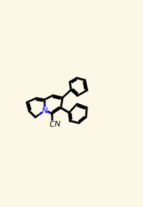 N#CC1=C(c2ccccc2)C(c2ccccc2)=CC2=CC=CCN21